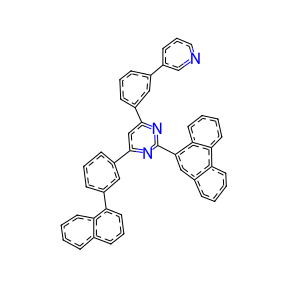 c1cncc(-c2cccc(-c3cc(-c4cccc(-c5cccc6ccccc56)c4)nc(-c4cc5ccccc5c5ccccc45)n3)c2)c1